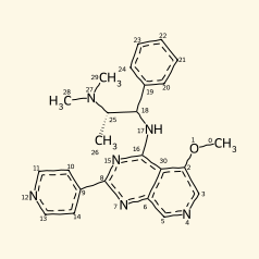 COc1cncc2nc(-c3ccncc3)nc(NC(c3ccccc3)[C@H](C)N(C)C)c12